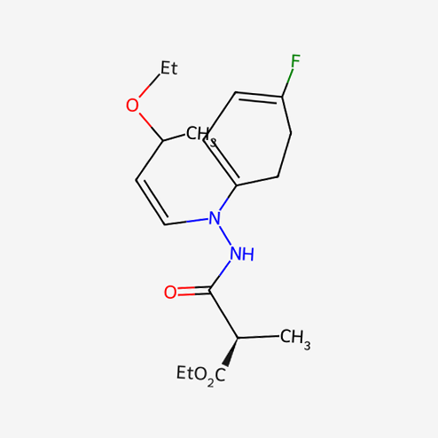 CCOC(=O)[C@H](C)C(=O)NN(/C=C\C(C)OCC)C1=CC=C(F)CC1